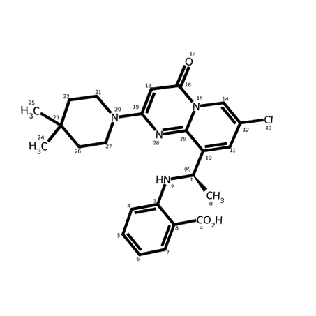 C[C@@H](Nc1ccccc1C(=O)O)c1cc(Cl)cn2c(=O)cc(N3CCC(C)(C)CC3)nc12